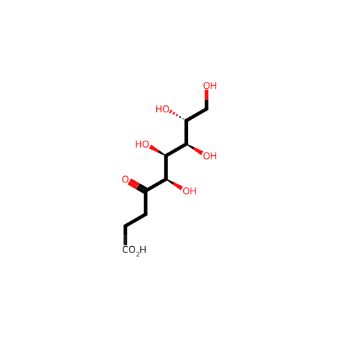 O=C(O)CCC(=O)[C@H](O)[C@@H](O)[C@H](O)[C@H](O)CO